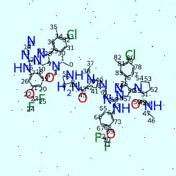 CCN(C(=O)[C@H]1CCN1)[C@@H]1CN(C(=NC#N)Nc2cccc(OC(F)F)c2)N=C1c1ccc(Cl)c(C)c1.CCN1CCC1C(N)=O.CCNC(=O)[C@H]1CCCN1C1CN(C(=NC#N)Nc2cccc(OC(F)F)c2)N=C1c1ccc(Cl)c(C)c1